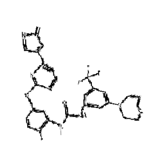 O=C(Nc1cc(N2CCOCC2)cc(C(F)(F)F)c1)Nc1cc(Oc2cccc(-c3cn[nH]c3)n2)ccc1F